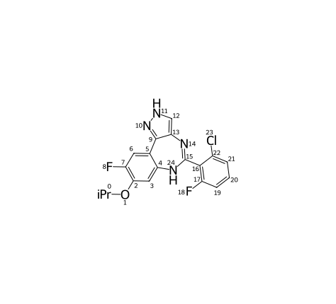 CC(C)Oc1cc2c(cc1F)-c1n[nH]cc1N=C(c1c(F)cccc1Cl)N2